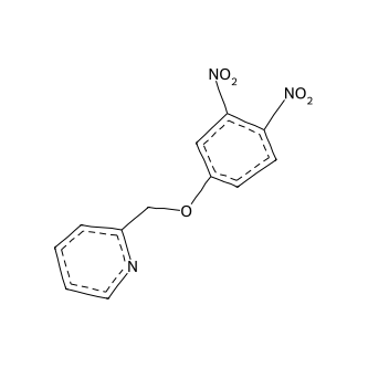 O=[N+]([O-])c1ccc(OCc2ccccn2)cc1[N+](=O)[O-]